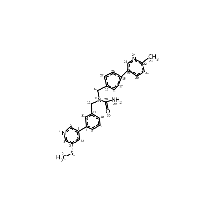 CSc1cncc(-c2cccc(CN(Cc3ccc(-c4ccc(C)nc4)cc3)C(N)=O)c2)c1